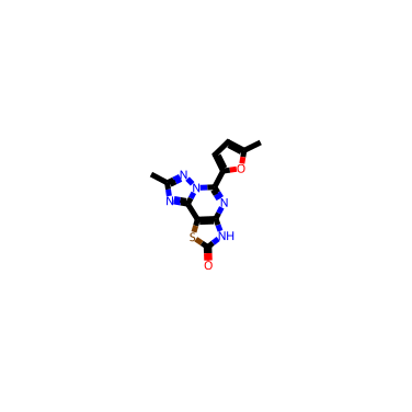 Cc1nc2c3sc(=O)[nH]c3nc(-c3ccc(C)o3)n2n1